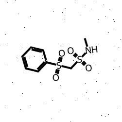 CNS(=O)(=O)CS(=O)(=O)c1ccccc1